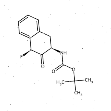 CC(C)(C)OC(=O)N[C@@H]1Cc2ccccc2[C@H](F)C1=O